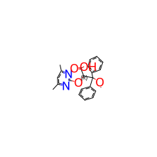 COC(c1ccccc1)(c1ccccc1)[C@@H](Oc1nc(C)cc(C)n1)C(=O)O